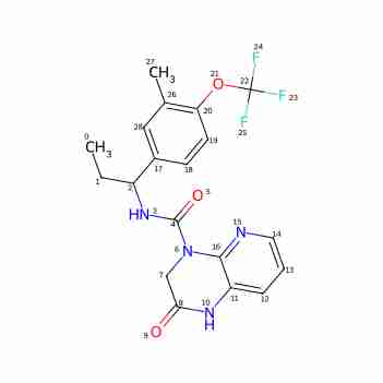 CCC(NC(=O)N1CC(=O)Nc2cccnc21)c1ccc(OC(F)(F)F)c(C)c1